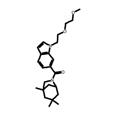 COCCOCCn1ccc2ccc(C(=O)N3CC4(C)CC3CC(C)(C)C4)cc21